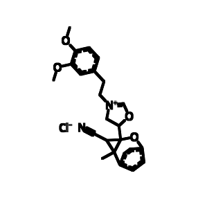 COc1ccc(CC[N+]2=COC(C34Oc5ccc(cc5)C3(C)C4C#N)C2)cc1OC.[Cl-]